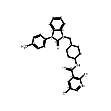 Cc1ccc(-n2c(=O)n(CC3CCC(NC(=O)c4cc(Cl)cnc4C)CC3)c3ccccc32)cc1